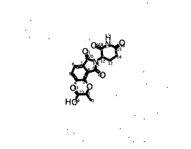 CC(Oc1cccc2c1C(=O)N(C1CCC(=O)NC1=O)C2=O)C(=O)O